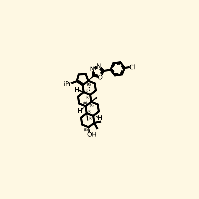 CC(C)C1=C2[C@H]3CC[C@@H]4[C@@]5(C)CC[C@H](O)C(C)(C)[C@@H]5CC[C@@]4(C)[C@]3(C)CC[C@@]2(c2nnc(-c3ccc(Cl)cc3)o2)CC1